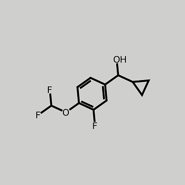 OC(c1ccc(OC(F)F)c(F)c1)C1CC1